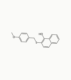 COc1ccc(CSc2ccc3ccccc3c2O)cc1